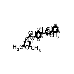 CC(CN1CC(C)OC(C)C1)Oc1ccc(OC[Si](C)(C)c2ccccc2)cc1